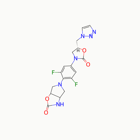 O=C1NC2CN(c3c(F)cc(N4C[C@H](Cn5ccnn5)OC4=O)cc3F)CC2O1